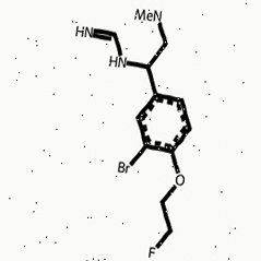 CNCC(NC=N)c1ccc(OCCF)c(Br)c1